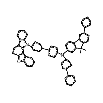 CC1(C)c2ccc(-c3ccccc3)cc2-c2ccc(N(c3ccc(-c4ccccc4)cc3)c3ccc(-c4ccc(-n5c6ccccc6c6ccc7oc8ccccc8c7c65)cc4)cc3)cc21